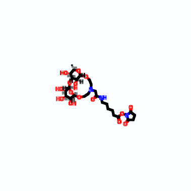 C[C@@H]1O[C@H]2OCCN(CC(=O)NCCCCCC(=O)ON3C(=O)CCC3=O)CCO[C@@H]3O[C@@H](O[C@@H]([C@@H]2O)[C@@H]1O)[C@@H](O)[C@@H](O)[C@@H]3O